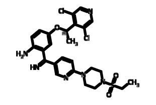 CCS(=O)(=O)N1CCN(c2ccc(C(=N)c3cc(O[C@H](C)c4c(Cl)cncc4Cl)ccc3N)cn2)CC1